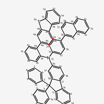 c1ccc(C2(c3ccccc3)c3ccccc3-c3ccc(N(c4ccc(-c5ccc6ccccc6c5)cc4)c4ccccc4-c4ccc5c(c4)sc4ccccc45)cc32)cc1